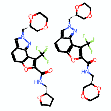 O=C(NC[C@@H]1CCCO1)c1oc2ccc3cn(C[C@H]4COCCO4)nc3c2c1C(F)(F)F.O=C(NC[C@@H]1COCCO1)c1oc2ccc3cn(C[C@H]4COCCO4)nc3c2c1C(F)(F)F